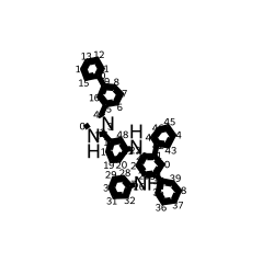 CNC(/N=C/c1cccc(-c2ccccc2)c1)c1cccc(Nc2cc(Nc3ccccc3)c(-c3ccccc3)cc2-c2ccccc2)c1